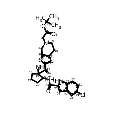 CC(C)(C)OC(=O)CN1CCc2nc(C(=O)C3(N)CCCC3NC(=O)c3cc4cc(Cl)ccc4[nH]3)sc2C1